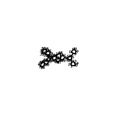 c1ccc(-c2cc(-c3ccccc3)cc(-c3cc4ccc5cc(N(c6ccc7ccccc7c6)c6ccc7ccccc7c6)cc6ccc(c3)c4c56)c2)cc1